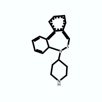 C1=CC2=c3ccccc3=CSN(C3CCNCC3)C2C=C1